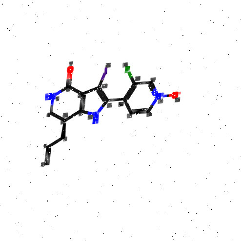 C=CC[C@H]1CNC(=O)c2c1[nH]c(-c1cc[n+]([O-])cc1F)c2I